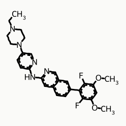 CCN1CCN(c2ccc(Nc3cc4ccc(-c5c(F)c(OC)cc(OC)c5F)cc4cn3)nc2)CC1